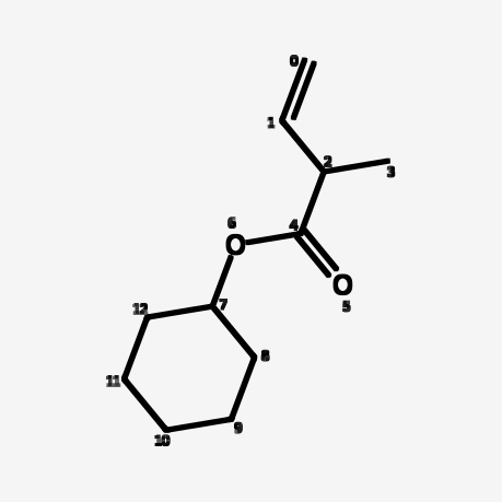 C=CC(C)C(=O)OC1CCCCC1